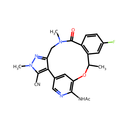 CC(=O)Nc1ncc2cc1OC(C)c1cc(F)ccc1C(=O)N(C)Cc1nn(C)c(C#N)c1-2